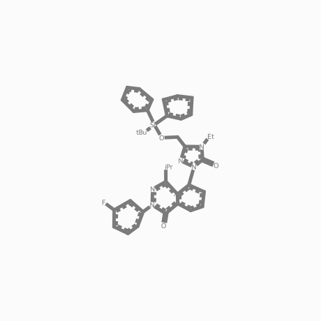 CCn1c(CO[Si](c2ccccc2)(c2ccccc2)C(C)(C)C)nn(-c2cccc3c(=O)n(-c4cccc(F)c4)nc(C(C)C)c23)c1=O